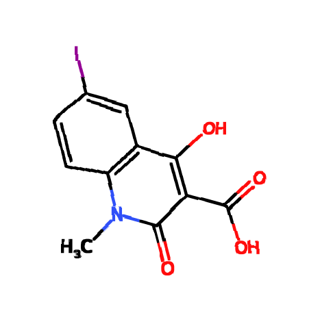 Cn1c(=O)c(C(=O)O)c(O)c2cc(I)ccc21